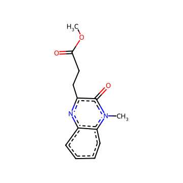 COC(=O)CCc1nc2ccccc2n(C)c1=O